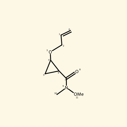 C=CCOC1CC1C(=O)N(C)OC